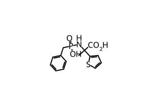 CC(NP(=O)(O)Cc1ccccc1)(C(=O)O)c1cccs1